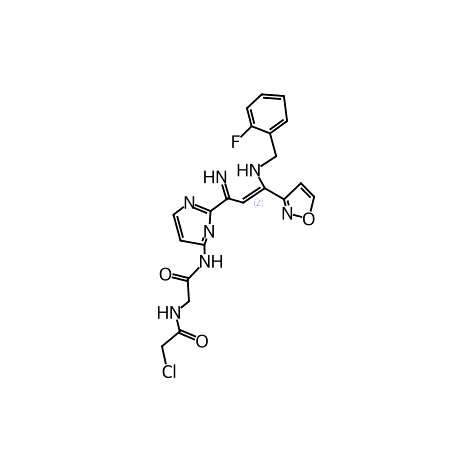 N=C(/C=C(\NCc1ccccc1F)c1ccon1)c1nccc(NC(=O)CNC(=O)CCl)n1